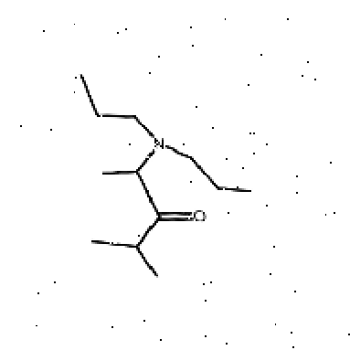 CCCN(CCC)C(C)C(=O)C(C)C